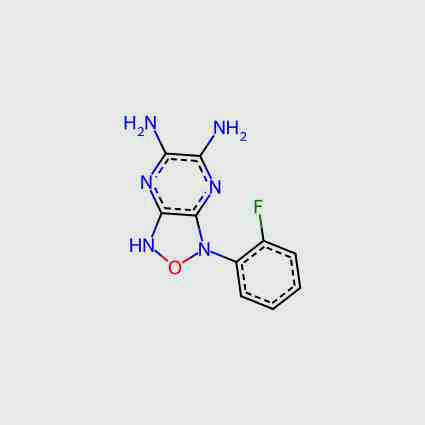 Nc1nc2c(nc1N)N(c1ccccc1F)ON2